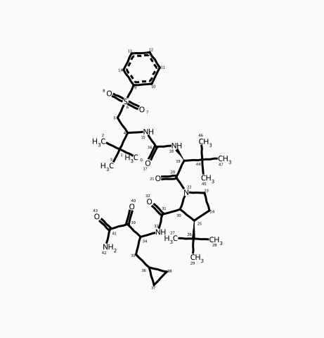 CC(C)(C)C(CS(=O)(=O)c1ccccc1)NC(=O)N[C@H](C(=O)N1CC[C@@H](C(C)(C)C)C1C(=O)NC(CC1CC1)C(=O)C(N)=O)C(C)(C)C